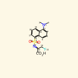 CN(C)c1cccc2c(S(=O)(=O)N=C(CF)C(=O)O)cccc12